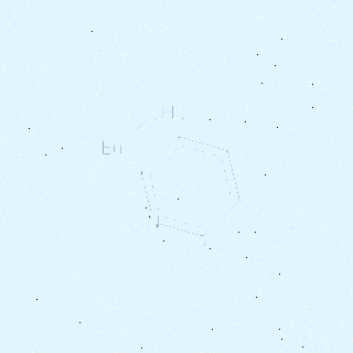 O=[CH][Eu].c1ccncc1